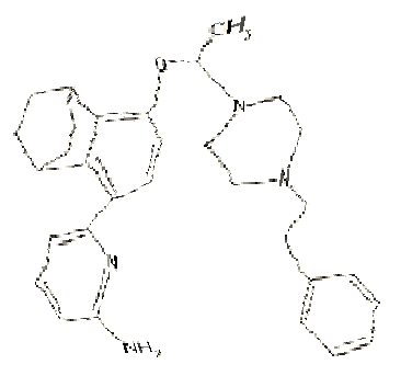 CC(Oc1ccc(-c2cccc(N)n2)c2c1C1CCC2CC1)N1CCN(CCc2ccccc2)CC1